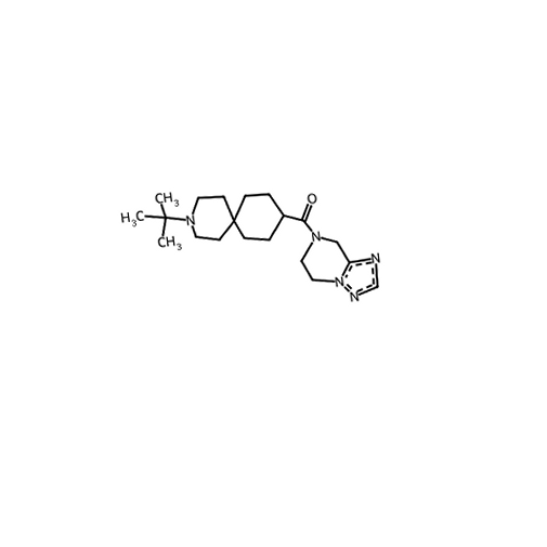 CC(C)(C)N1CCC2(CCC(C(=O)N3CCn4ncnc4C3)CC2)CC1